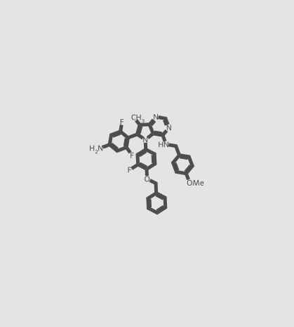 COc1ccc(CNc2ncnc3c(C)c(-c4c(F)cc(N)cc4F)n(-c4ccc(OCc5ccccc5)c(F)c4)c23)cc1